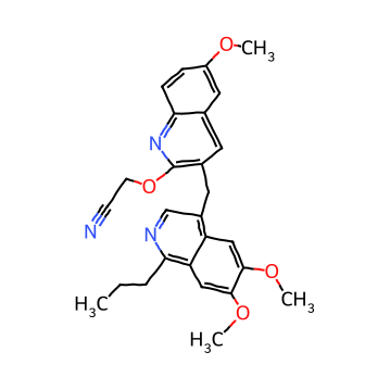 CCCc1ncc(Cc2cc3cc(OC)ccc3nc2OCC#N)c2cc(OC)c(OC)cc12